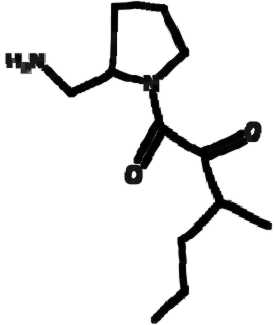 CCCC(C)C(=O)C(=O)N1CCCC1CN